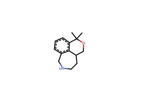 CC1(C)OCC2CCNCc3cccc1c32